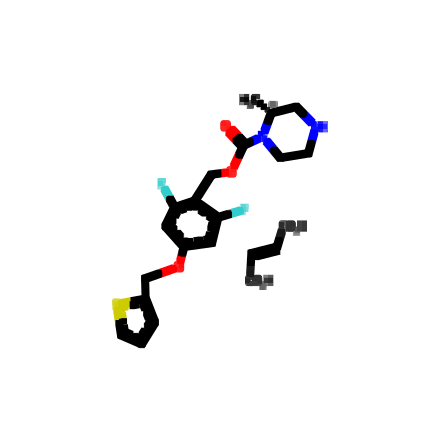 C[C@@H]1CNCCN1C(=O)OCc1c(F)cc(OCc2cccs2)cc1F.O=C(O)C=CC(=O)O